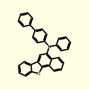 c1ccc(-c2ccc(N(c3ccccc3)c3cc4c5ccccc5oc4c4ccccc34)cc2)cc1